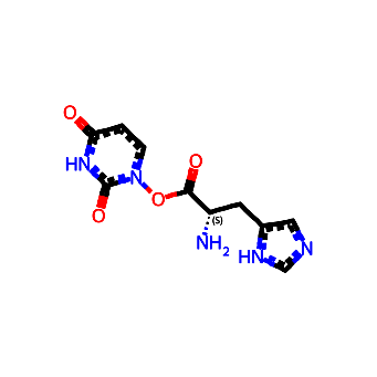 N[C@@H](Cc1cnc[nH]1)C(=O)On1ccc(=O)[nH]c1=O